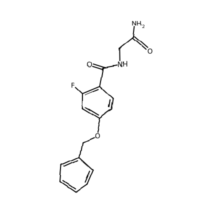 NC(=O)CNC(=O)c1ccc(OCc2ccccc2)cc1F